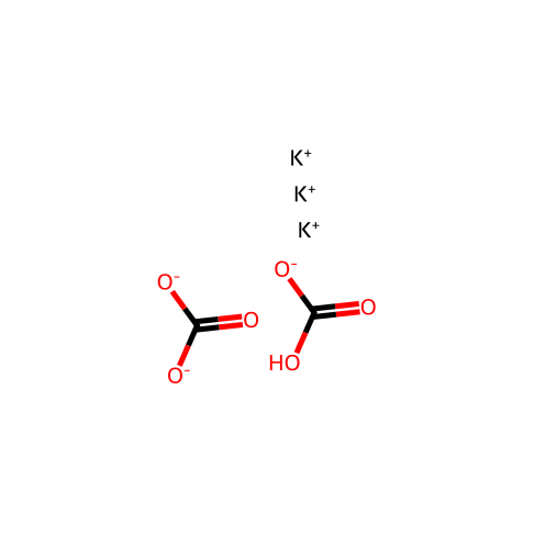 O=C([O-])O.O=C([O-])[O-].[K+].[K+].[K+]